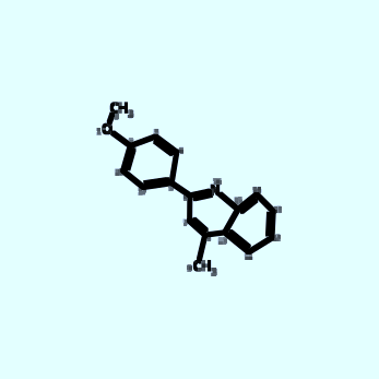 COc1ccc(-c2cc(C)c3ccccc3n2)cc1